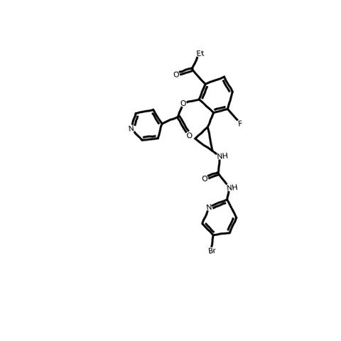 CCC(=O)c1ccc(F)c(C2CC2NC(=O)Nc2ccc(Br)cn2)c1OC(=O)c1ccncc1